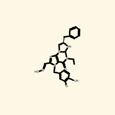 CCN1C(=O)c2c(nc(/C=N/O)n2Cc2ccc(O)c(Cl)c2)N2C[C@@H](Cc3ccccc3)NC12